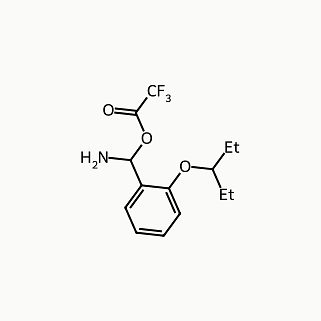 CCC(CC)Oc1ccccc1C(N)OC(=O)C(F)(F)F